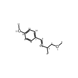 COCC(C)/N=C/c1ccc(OC)cc1